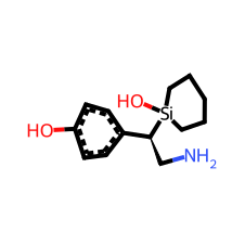 NC[C@@H](c1ccc(O)cc1)[Si]1(O)CCCCC1